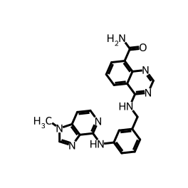 Cn1cnc2c(Nc3cccc(CNc4ncnc5c(C(N)=O)cccc45)c3)nccc21